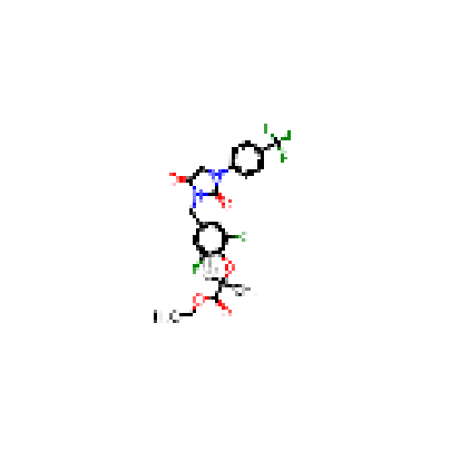 CCOC(=O)C(C)(C)Oc1c(F)cc(CN2C(=O)CN(c3ccc(C(F)(F)F)cc3)C2=O)cc1Cl